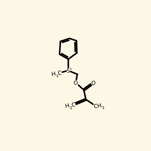 C=C(C)C(=O)OC[S+](C)c1ccccc1